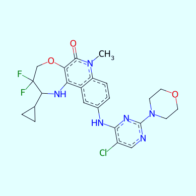 Cn1c(=O)c2c(c3cc(Nc4nc(N5CCOCC5)ncc4Cl)ccc31)NC(C1CC1)C(F)(F)CO2